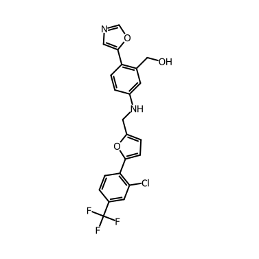 OCc1cc(NCc2ccc(-c3ccc(C(F)(F)F)cc3Cl)o2)ccc1-c1cnco1